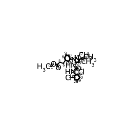 CCOC(=O)CCc1cccc(-n2nc(C(C)(C)C)cc2NC(=O)Nc2c(Cl)cccc2Cl)c1